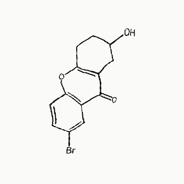 O=c1c2c(oc3ccc(Br)cc13)CCC(O)C2